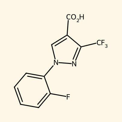 O=C(O)c1cn(-c2ccccc2F)nc1C(F)(F)F